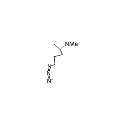 CN[C@@H](C)CCCN=[N+]=[N-]